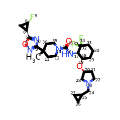 CC1(c2noc([C@@H]3C[C@@H]3F)n2)CCN(C(=O)N[C@@H]2[C@@H](O[C@H]3CCN(CC4CC4)C3)CCCC2(F)F)CC1